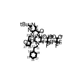 CC(C)(C)c1ncc(C(=O)N2CCN(CCc3ccccc3)CC2)c(NCc2ccco2)n1.O=C(O)C(F)(F)F.O=C(O)C(F)(F)F